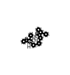 CN1C(c2ccccc2)=C2Oc3ccccc3C2NC1c1cccc(-c2cccc(-c3ccc4c(c3)C(C)(C)c3c-4c(-c4ccccc4)cc4ccccc34)c2)c1